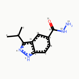 CC(C)c1n[nH]c2ccc(C(=O)NN)cc12